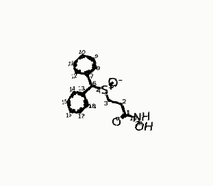 O=C(CC[S+]([O-])C(c1ccccc1)c1ccccc1)NO